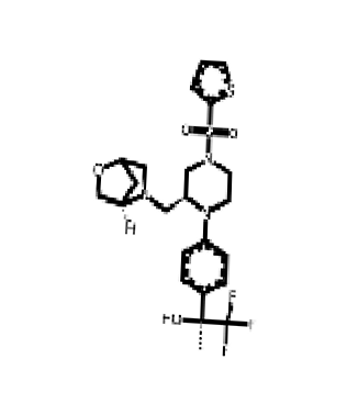 C[C@](O)(c1ccc(N2CCN(S(=O)(=O)c3cccs3)C[C@@H]2CN2CC3C[C@@H]2CO3)cc1)C(F)(F)F